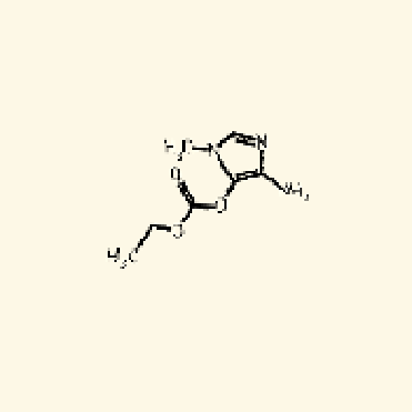 CCOC(=O)Oc1c(N)ncn1C